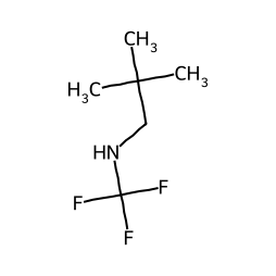 CC(C)(C)CNC(F)(F)F